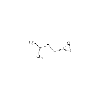 FC(F)(F)C(OCC1CO1)C(F)(F)F